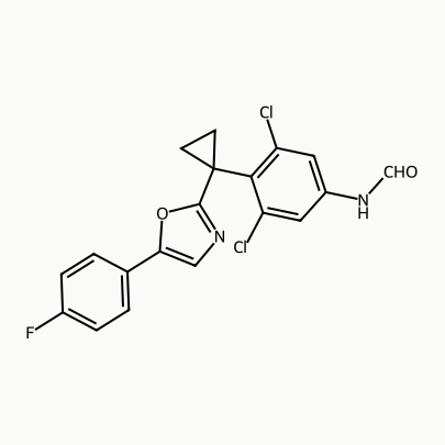 O=CNc1cc(Cl)c(C2(c3ncc(-c4ccc(F)cc4)o3)CC2)c(Cl)c1